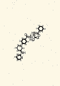 O=C(NC[C@H](NC(=O)c1ccccc1)C(=O)O)c1ccc(N2CCC[C@H](Nc3ncccn3)C2)cc1